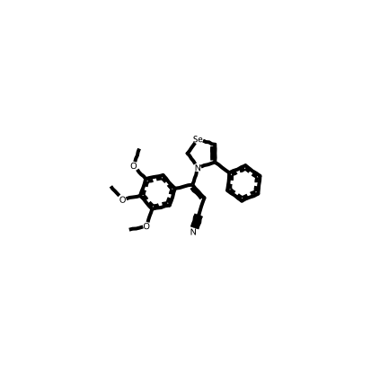 COc1cc(C(=CC#N)N2C[Se]C=C2c2ccccc2)cc(OC)c1OC